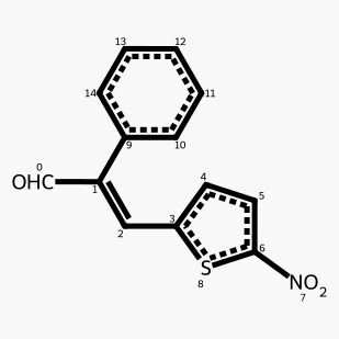 O=C/C(=C/c1ccc([N+](=O)[O-])s1)c1ccccc1